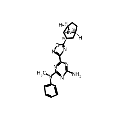 CN(c1ccccc1)c1nc(N)nc(-c2noc([C@H]3C[C@H]4CC[C@@H](C3)N4)n2)n1